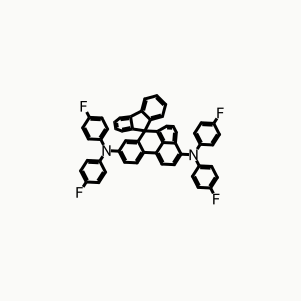 Fc1ccc(N(c2ccc(F)cc2)c2ccc3c(c2)C2(c4ccccc4-c4ccccc42)c2cccc4c(N(c5ccc(F)cc5)c5ccc(F)cc5)ccc-3c24)cc1